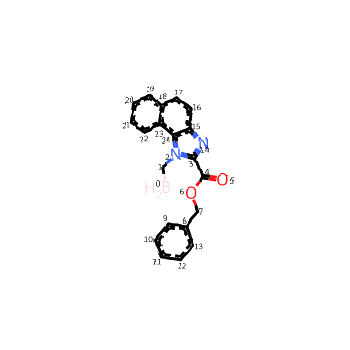 BCn1c(C(=O)OCc2ccccc2)nc2ccc3ccccc3c21